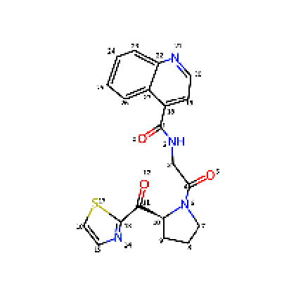 O=C(NCC(=O)N1CCC[C@H]1C(=O)c1nccs1)c1ccnc2ccccc12